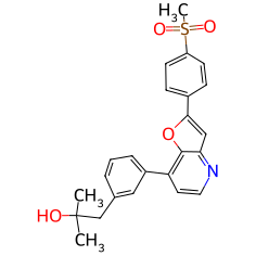 CC(C)(O)Cc1cccc(-c2ccnc3cc(-c4ccc(S(C)(=O)=O)cc4)oc23)c1